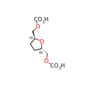 O=C(O)OC[C@@H]1CC[C@@H](COC(=O)O)O1